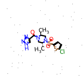 C[C@@H]1CN(C(=O)c2c[nH]nn2)[C@@H](C)CN1S(=O)(=O)c1ccc(Cl)s1